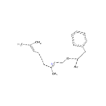 CC(=O)C(Cc1ccccc1)OC/C=C(\C)CCC=C(C)C